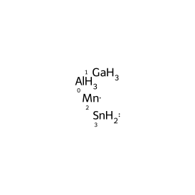 [AlH3].[GaH3].[Mn].[SnH2]